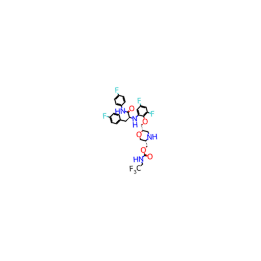 O=C(NCC(F)(F)F)OC[C@@H]1CO[C@H](COc2c(F)cc(F)cc2N[C@@H](Cc2ccc(F)cc2)C(=O)Nc2ccc(F)cc2)CN1